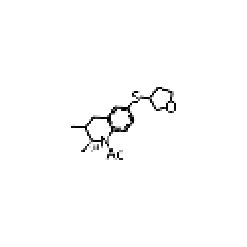 CC(=O)N1c2ccc(SC3CCOC3)cc2CC(C)[C@@H]1C